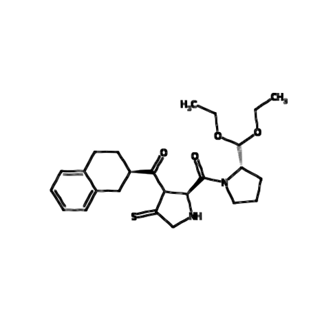 CCOC(OCC)[C@@H]1CCCN1C(=O)[C@H]1NCC(=S)C1C(=O)[C@@H]1CCc2ccccc2C1